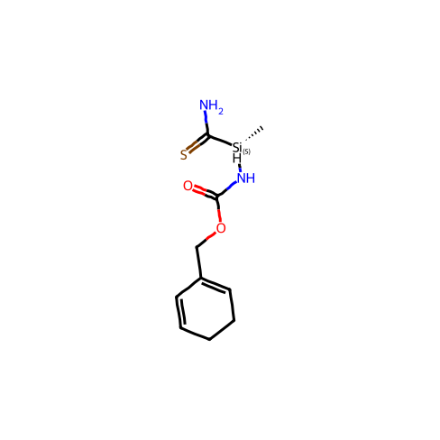 C[Si@H](NC(=O)OCC1=CCCC=C1)C(N)=S